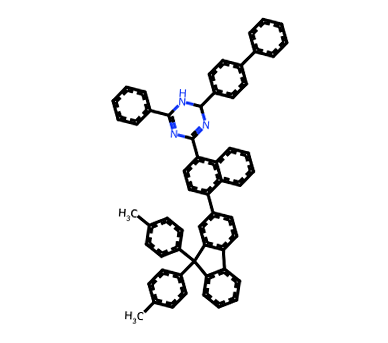 Cc1ccc(C2(c3ccc(C)cc3)c3ccccc3-c3ccc(-c4ccc(C5=NC(c6ccc(-c7ccccc7)cc6)NC(c6ccccc6)=N5)c5ccccc45)cc32)cc1